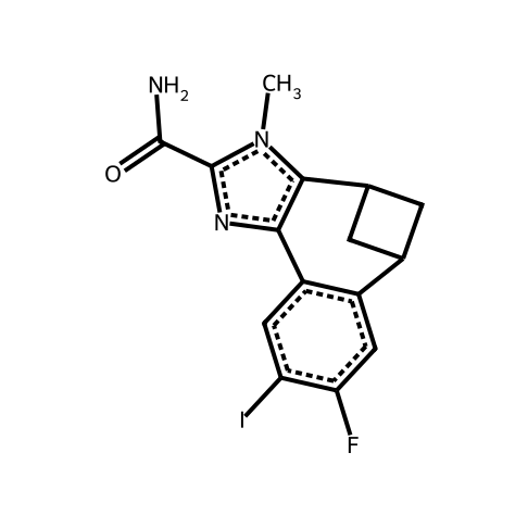 Cn1c(C(N)=O)nc2c1C1CC(C1)c1cc(F)c(I)cc1-2